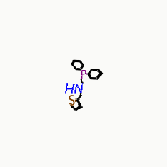 c1ccc(P(CCNCc2cccs2)c2ccccc2)cc1